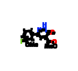 COC(=O)c1cc(C2=CC=CC(F)(OC)C2)n[nH]c1=O